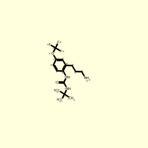 CC(C)(C)NC(=O)Nc1ccc(OC(F)(F)F)cc1CCCN